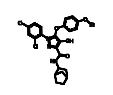 CCOc1ccc(Oc2c(O)c(C(=O)NC3CC4CCC3C4)nn2-c2ccc(Cl)cc2Cl)cc1